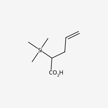 C=CCC(C(=O)O)[Si](C)(C)C